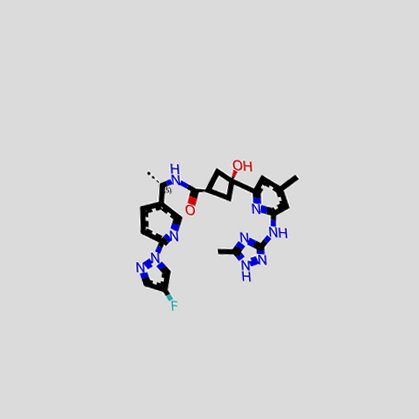 Cc1cc(Nc2n[nH]c(C)n2)nc([C@]2(O)C[C@@H](C(=O)N[C@@H](C)c3ccc(-n4cc(F)cn4)nc3)C2)c1